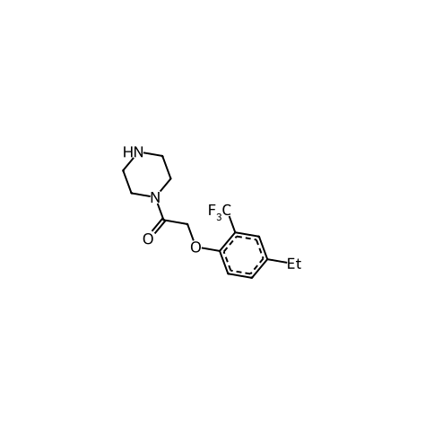 CCc1ccc(OCC(=O)N2CCNCC2)c(C(F)(F)F)c1